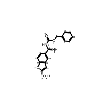 N=C(NC(=O)OCc1ccccc1)c1ccc2oc(C(=O)O)cc2c1